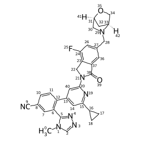 Cn1cnnc1-c1cc(C#N)ccc1-c1cc(C2CC2)nc(N2Cc3c(F)cc(CN4C[C@@H]5C[C@H]4CO5)cc3C2=O)c1